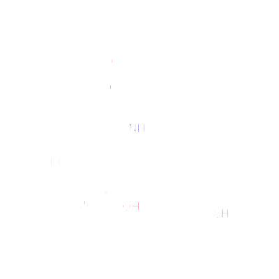 CC1=CC(=C=O)NC(c2ccc(C)cc2)=C1C(=O)O